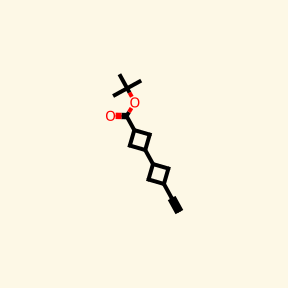 C#CC1CC(C2CC(C(=O)OC(C)(C)C)C2)C1